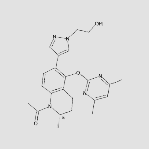 CC(=O)N1c2ccc(-c3cnn(CCO)c3)c(Oc3nc(C)cc(C)n3)c2CC[C@@H]1C